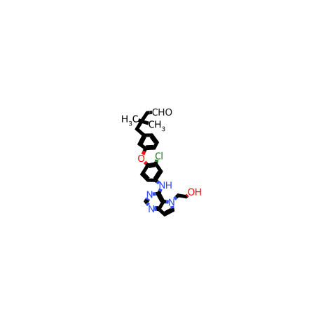 CC(C)(CC=O)Cc1cccc(Oc2ccc(Nc3ncnc4ccn(CCO)c34)cc2Cl)c1